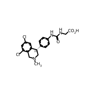 CN1Cc2c(Cl)cc(Cl)cc2[C@H](c2ccc(NC(=O)NCC(=O)O)cc2)C1